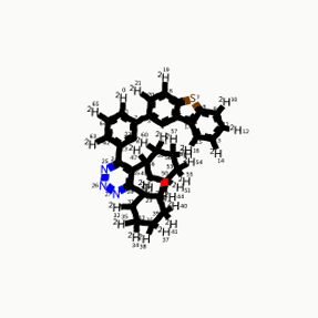 [2H]c1c(-c2cc3c(sc4c([2H])c([2H])c([2H])c([2H])c43)c([2H])c2[2H])cc(-c2nnnc(C3([2H])C([2H])C([2H])([2H])C([2H])([2H])C([2H])([2H])C3([2H])[2H])c2C2([2H])C([2H])C([2H])([2H])C([2H])([2H])C([2H])([2H])C2([2H])[2H])c([2H])c1[2H]